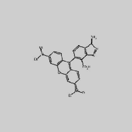 CCN(CC)c1ccc2c(-c3ccc4c(c3C(=O)O)N=NC4N)c3ccc(=[N+](CC)CC)cc-3oc2c1